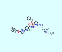 CC1(C)C[C@H](CCCNc2ccc(OCc3ccccc3)c(S(=O)(=O)NC(=O)c3ccc(-n4ccc(OCCCC5(C(F)(F)F)CC5)n4)nc3Cl)n2)CN1C(=O)O